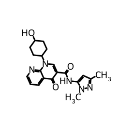 Cc1cc(NC(=O)c2cn(C3CCC(O)CC3)c3ncccc3c2=O)n(C)n1